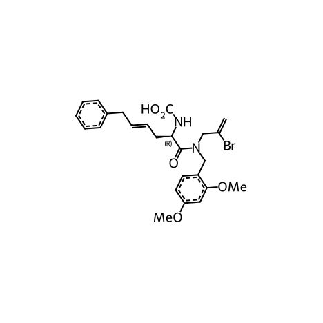 C=C(Br)CN(Cc1ccc(OC)cc1OC)C(=O)[C@@H](CC=CCc1ccccc1)NC(=O)O